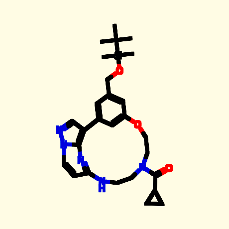 CC(C)(C)[Si](C)(C)OCc1cc2cc(c1)-c1cnn3ccc(nc13)NCCN(C(=O)C1CC1)CCO2